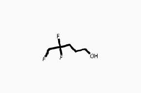 OCCCC(F)(F)CF